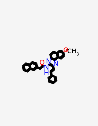 COc1ccc2c(c1)CCc1nc(NC(=O)Cc3ccc4ccccc4c3)c(/C=C/c3ccccc3)nc1-2